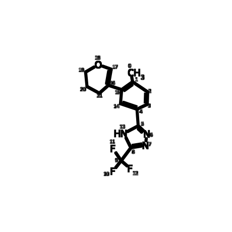 Cc1ccc(-c2nnc(C(F)(F)F)[nH]2)cc1C1=COCCC1